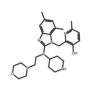 Cc1cc(C)c2c(c1)nc(N(CCN1CCOCC1)C1CCNCC1)n2Cc1nc(C)ccc1O